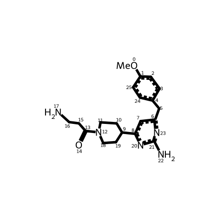 COc1ccc(Cc2cc(C3CCN(C(=O)CCN)CC3)nc(N)n2)cc1